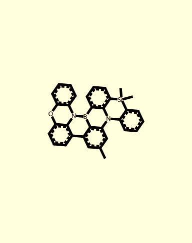 Cc1cc2c3c(c1)N1c4ccccc4[Si](C)(C)c4cccc(c41)B3N1c3ccccc3Oc3cccc-2c31